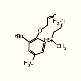 C=CCOc1c([SiH](C)CCCl)cc(C)cc1C(C)(C)C